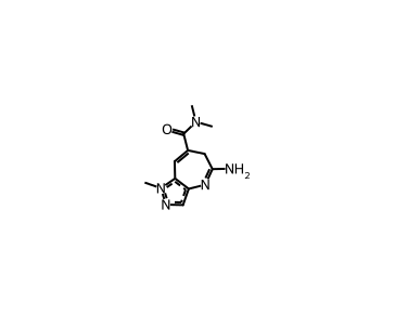 CN(C)C(=O)C1=Cc2c(cnn2C)N=C(N)C1